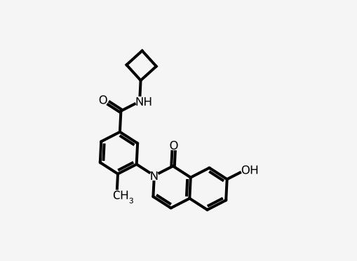 Cc1ccc(C(=O)NC2CCC2)cc1-n1ccc2ccc(O)cc2c1=O